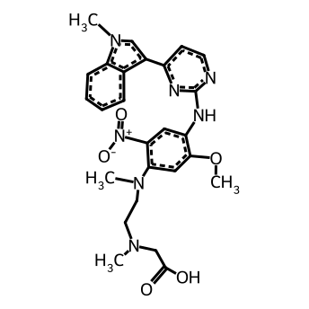 COc1cc(N(C)CCN(C)CC(=O)O)c([N+](=O)[O-])cc1Nc1nccc(-c2cn(C)c3ccccc23)n1